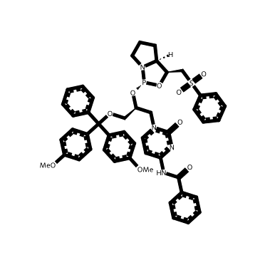 COc1ccc(C(OC[C@H](Cn2ccc(NC(=O)c3ccccc3)nc2=O)O[P@@]2O[C@H](CS(=O)(=O)c3ccccc3)[C@@H]3CCCN32)(c2ccccc2)c2ccc(OC)cc2)cc1